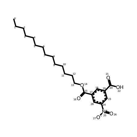 CCCCCCCCCCCCCCOC(=O)c1cc(C(=O)O)cc([N+](=O)[O-])c1